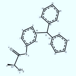 C[C@H](N)C(=O)Sc1cccc(C(c2ccccc2)c2ccccc2)c1